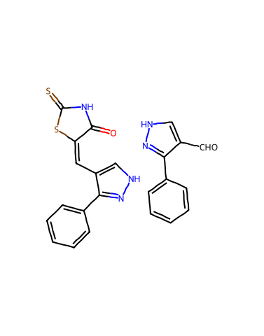 O=C1NC(=S)S/C1=C/c1c[nH]nc1-c1ccccc1.O=Cc1c[nH]nc1-c1ccccc1